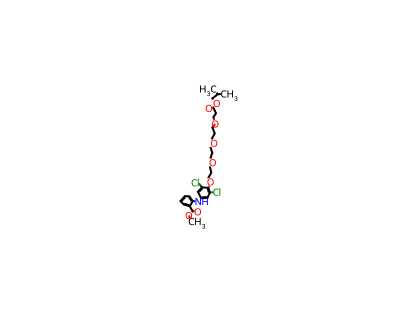 COC(=O)c1ccccc1Nc1cc(Cl)c(OCCCOCCCOCCCOCCC(=O)OCC(C)C)c(Cl)c1